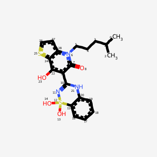 CC(C)CCCn1c(=O)c(C2=NS(O)(O)c3ccccc3N2)c(O)c2sccc21